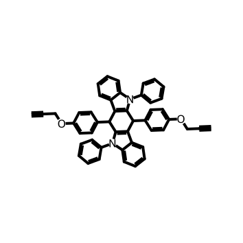 C#CCOc1ccc(C2c3c(n(-c4ccccc4)c4ccccc34)C(c3ccc(OCC#C)cc3)c3c2n(-c2ccccc2)c2ccccc32)cc1